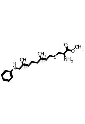 COC(=O)C(N)CSC/C=C(\C)CC/C=C(\C)CNc1ccccc1